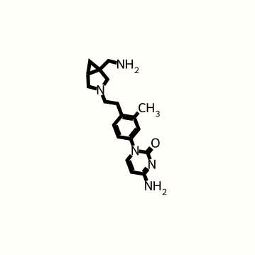 Cc1cc(-n2ccc(N)nc2=O)ccc1CCN1CC2CC2(CN)C1